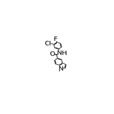 Cn1ccc2cc(C(=O)Nc3ccc(F)c(Cl)c3)ccc21